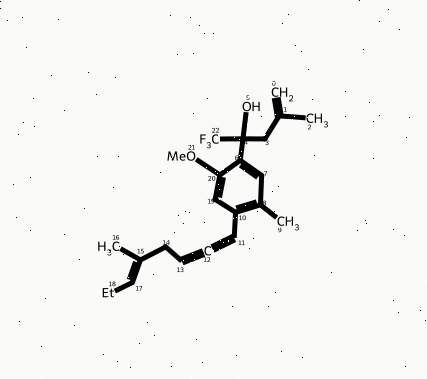 C=C(C)CC(O)(c1cc(C)c(C=C=CC/C(C)=C/CC)cc1OC)C(F)(F)F